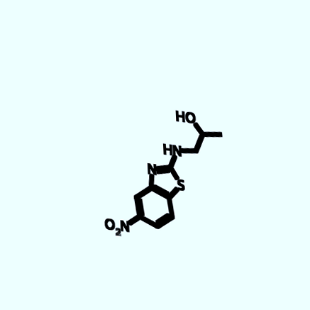 CC(O)CNc1nc2cc([N+](=O)[O-])ccc2s1